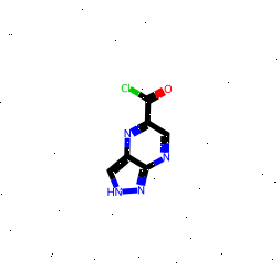 O=C(Cl)c1cnc2n[nH]cc2n1